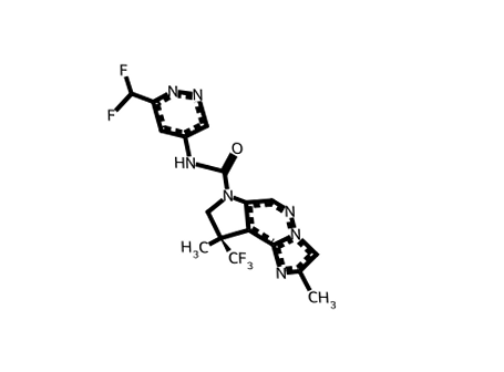 Cc1cn2ncc3c(c2n1)[C@@](C)(C(F)(F)F)CN3C(=O)Nc1cnnc(C(F)F)c1